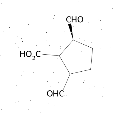 O=CC1CC[C@H](C=O)C1C(=O)O